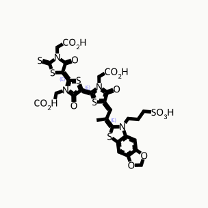 C/C(C=c1s/c(=c2/s/c(=C3/SC(=S)N(CC(=O)O)C3=O)n(CC(=O)O)c2=O)n(CC(=O)O)c1=O)=C1\Sc2cc3c(cc2N1CCCS(=O)(=O)O)OCO3